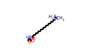 CN(C)CCCCCCCCCCCCCCCCCCC(=O)NC1CCOC1=O